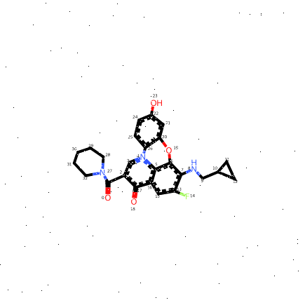 O=C(c1cn2c3c(c(NCC4CC4)c(F)cc3c1=O)Oc1cc(O)ccc1-2)N1CCCCC1